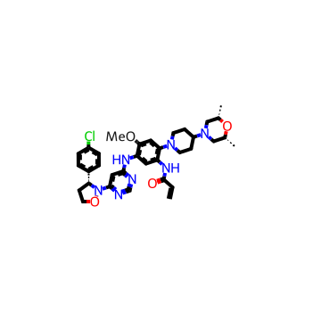 C=CC(=O)Nc1cc(Nc2cc(N3OCC[C@@H]3c3ccc(Cl)cc3)ncn2)c(OC)cc1N1CCC(N2C[C@@H](C)O[C@@H](C)C2)CC1